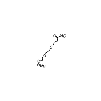 CCCCOCCOCCOCCCC(=O)N=O